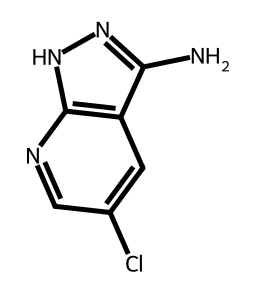 Nc1n[nH]c2ncc(Cl)cc12